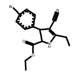 CCOC(=O)C1NC(CC)=C(C#N)C1c1ccc(Br)cc1